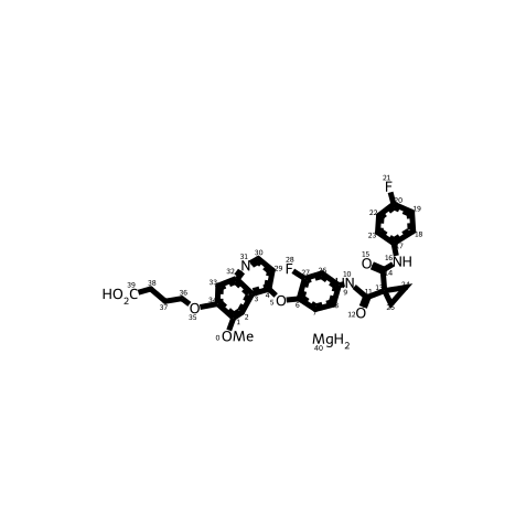 COc1cc2c(Oc3ccc(NC(=O)C4(C(=O)Nc5ccc(F)cc5)CC4)cc3F)ccnc2cc1OCCCC(=O)O.[MgH2]